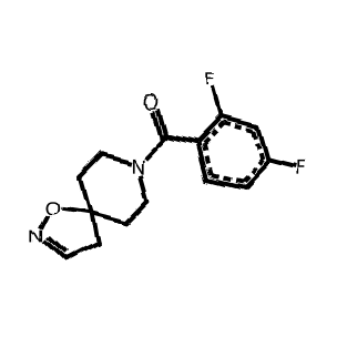 O=C(c1ccc(F)cc1F)N1CCC2(CC=NO2)CC1